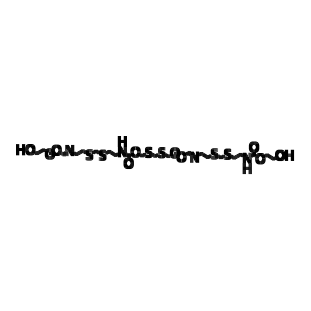 O=C(NCCSCSCC/N=C/OOCSCSCOC(=O)NCCSCSCC/N=C/OOCCO)OCCO